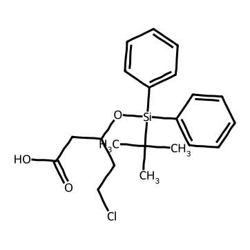 CC(C)(C)[Si](OC(CCCl)CC(=O)O)(c1ccccc1)c1ccccc1